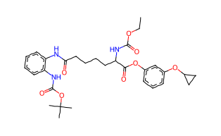 CCOC(=O)NC(CCCCC(=O)Nc1ccccc1NC(=O)OC(C)(C)C)C(=O)Oc1cccc(OC2CC2)c1